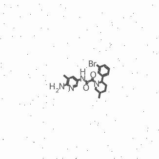 Cc1cc(NC(=O)C(=O)N2CC(C)CCC2c2cccc(Br)c2)cnc1N